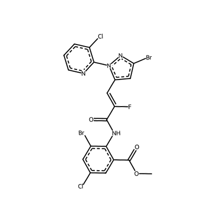 COC(=O)c1cc(Cl)cc(Br)c1NC(=O)/C(F)=C/c1cc(Br)nn1-c1ncccc1Cl